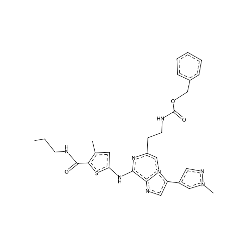 CCCNC(=O)c1sc(Nc2nc(CCNC(=O)OCc3ccccc3)cn3c(-c4cnn(C)c4)cnc23)cc1C